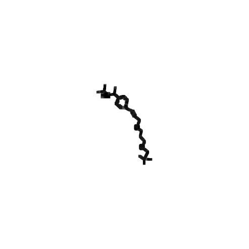 CC(C)NC(C)c1ccc(C#CCOCCCOCC(C)(C)C)cc1